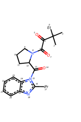 CCC(C)(C)C(=O)C(=O)N1CCCC1C(=O)n1c(C(C)C)nc2ccccc21